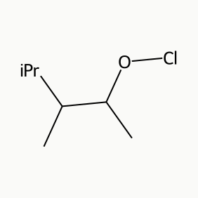 CC(C)C(C)C(C)OCl